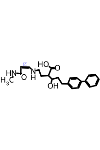 CNC(=O)/C=C\NCCC(C(=O)O)C(O)CCc1ccc(-c2ccccc2)cc1